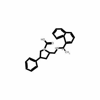 C[C@@H](NCC1CC(c2ccccc2)CN1C(=O)O)c1cccc2ccccc12